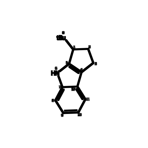 CC(C)(C)C1CCc2c1[nH]c1ccccc21